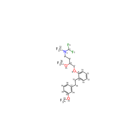 FC(F)N(CCC(COc1ccccc1CCc1cccc(OC(F)(F)F)c1)OC(F)(F)F)C(F)(F)F